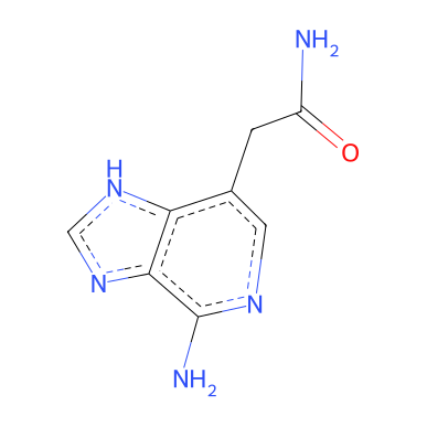 NC(=O)Cc1cnc(N)c2nc[nH]c12